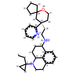 CCC1(N2CCc3cccc4c3C2CCC4NCC[C@@]2(c3ccccn3)CCOC3(CCCC3)C2)CC1